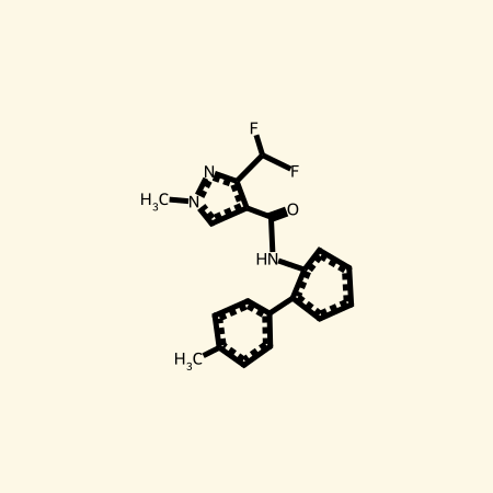 Cc1ccc(-c2ccccc2NC(=O)c2cn(C)nc2C(F)F)cc1